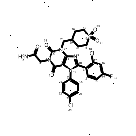 NC(=O)Cn1c(=O)c2c(nc(-c3ccc(F)cc3Cl)n2-c2ccc(Cl)cc2)n(CC2CCS(=O)(=O)CC2)c1=O